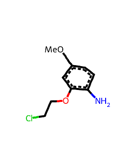 COc1ccc(N)c(OCCCl)c1